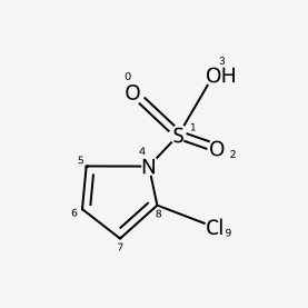 O=S(=O)(O)n1cccc1Cl